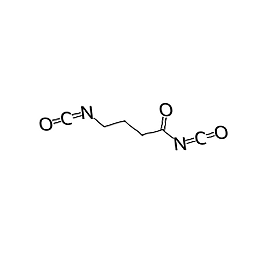 O=C=NCCCC(=O)N=C=O